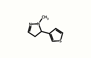 CN1N=CCC1c1ccsc1